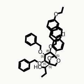 CCOc1ccc(Cc2cc([C@]34OC[C@@](C(O)CC)(O3)[C@@H](OCc3ccccc3)[C@H](OCc3ccccc3)[C@H]4OCc3ccccc3)ccc2Cl)cc1